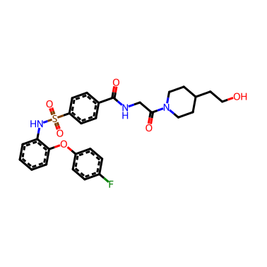 O=C(NCC(=O)N1CCC(CCO)CC1)c1ccc(S(=O)(=O)Nc2ccccc2Oc2ccc(F)cc2)cc1